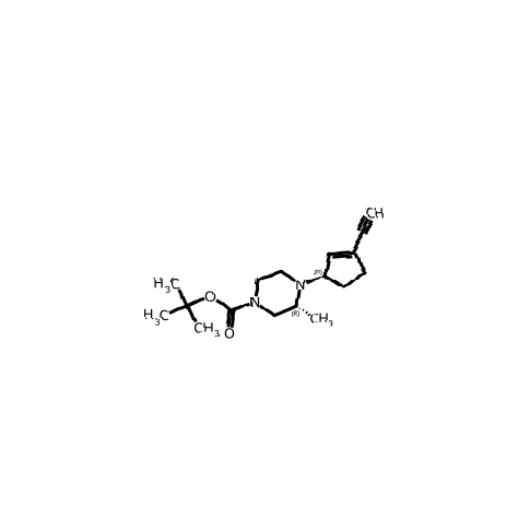 C#CC1=C[C@H](N2CCN(C(=O)OC(C)(C)C)C[C@H]2C)CC1